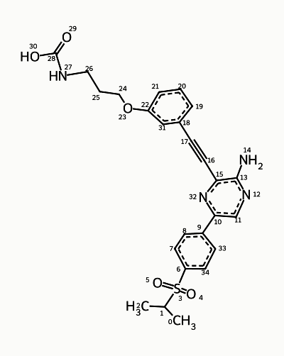 CC(C)S(=O)(=O)c1ccc(-c2cnc(N)c(C#Cc3cccc(OCCCNC(=O)O)c3)n2)cc1